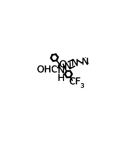 CN(C)CCN1CCN(C2(c3ccc(C(F)(F)F)cc3)NC(C=O)=C(c3ccccc3)O2)CC1